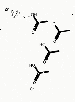 CC(=O)O.CC(=O)O.CC(=O)O.CC(=O)O.[AlH3].[CaH2].[Cr].[NaH].[Zn]